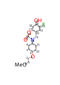 COCCOc1ccc(N2Cc3cc(F)c(O)cc3OC2=O)cc1